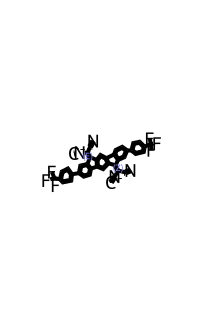 [C-]#[N+]/C(C#N)=C1/c2cc(-c3ccc(C(F)(F)F)cc3)ccc2-c2cc3c(cc21)-c1ccc(-c2ccc(C(F)(F)F)cc2)cc1/C3=C(/C#N)[N+]#[C-]